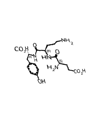 NCCC[C@@H](NC(=O)[C@@H](N)CCC(=O)O)C(=O)N[C@H](Cc1ccc(O)cc1)C(=O)O